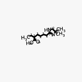 CCC(CCCCC1=NC(C)(C)CN1)C(=O)O